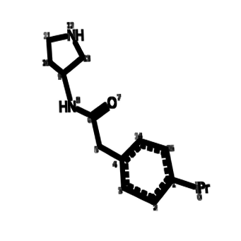 CC(C)c1ccc(CC(=O)NC2CCNC2)cc1